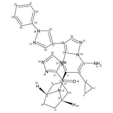 Nc1c(C2CC2)c([C@@H]2C[C@H]3CC[C@@H](C2)N3C(=O)c2nnc[nH]2)nc2c(-c3cnn(-c4ccccc4)c3)cnn12